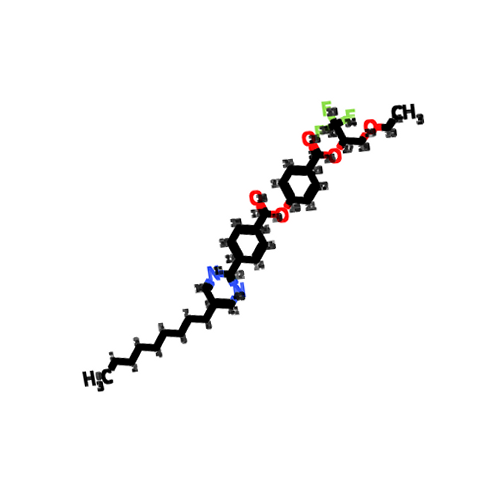 CCCCCCCCCc1cnc(-c2ccc(C(=O)Oc3ccc(C(=O)OC(COCC)C(F)(F)F)cc3)cc2)nc1